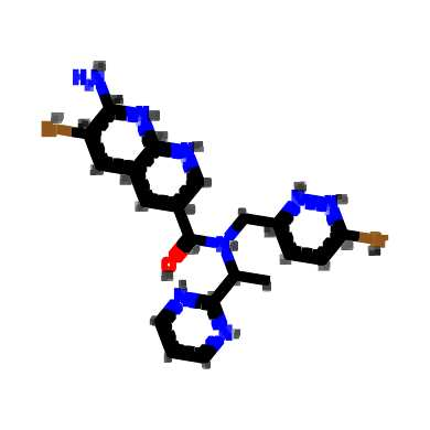 CC(c1ncccn1)N(Cc1ccc(Br)nn1)C(=O)c1cnc2nc(N)c(Br)cc2c1